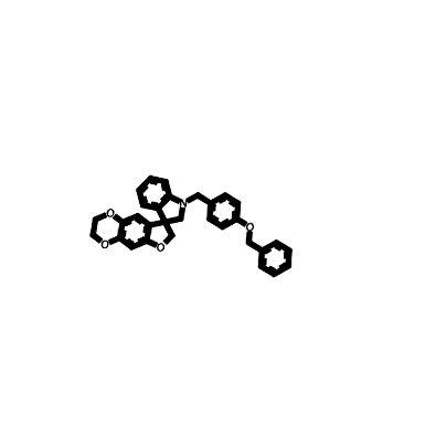 c1ccc(COc2ccc(CN3CC4(COc5cc6c(cc54)OCCO6)c4ccccc43)cc2)cc1